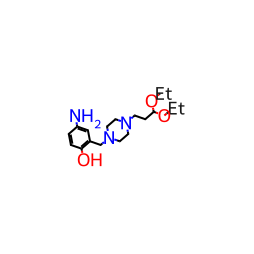 CCOC(CCN1CCN(Cc2cc(N)ccc2O)CC1)OCC